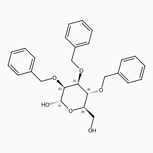 OC[C@H]1O[C@H](O)[C@@H](OCc2ccccc2)[C@@H](OCc2ccccc2)[C@@H]1OCc1ccccc1